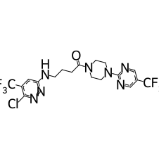 O=C(CCCNc1cc(C(F)(F)F)c(Cl)nn1)N1CCN(c2ncc(C(F)(F)F)cn2)CC1